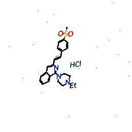 CCN1CCN(c2nc(/C=C/c3ccc(S(C)(=O)=O)cc3)cc3ccccc23)CC1.Cl